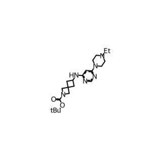 CCN1CCN(c2cc(NC3CC4(C3)CN(C(=O)OC(C)(C)C)C4)ncn2)CC1